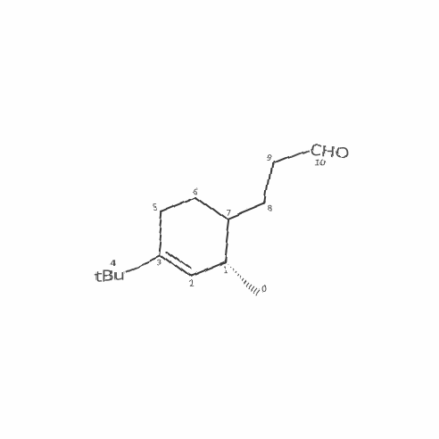 C[C@@H]1C=C(C(C)(C)C)CCC1CCC=O